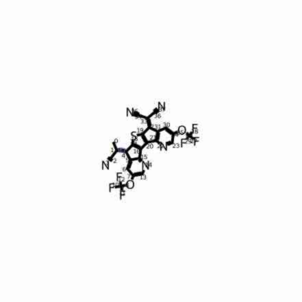 C/C(C#N)=C1/c2cc(OC(F)(F)F)cnc2-c2c1sc1c2-c2ncc(OC(F)(F)F)cc2C1=C(C#N)C#N